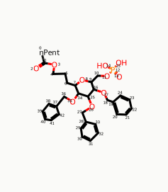 CCCCCC(=O)OCCCC1OC(COP(=O)(O)O)C(OCc2ccccc2)C(OCc2ccccc2)C1OCc1ccccc1